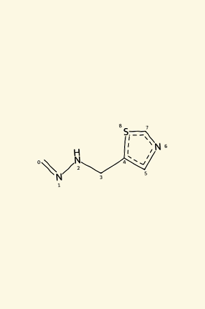 C=NNCc1cncs1